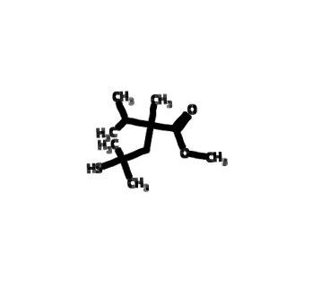 COC(=O)C(C)(CC(C)(C)S)C(C)C